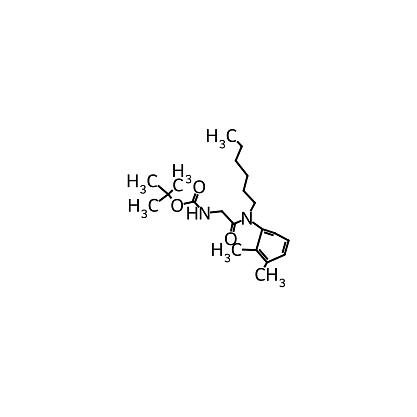 CCCCCCN(C(=O)CNC(=O)OC(C)(C)C)c1cccc(C)c1C